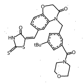 CC(C)(C)c1cc(CN2C(=O)COc3ccc(C=C4SC(=S)NC4=O)cc32)cc(C(=O)N2CCOCC2)c1